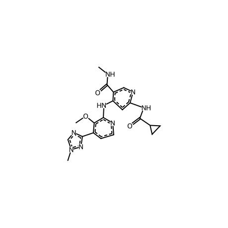 CNC(=O)c1cnc(NC(=O)C2CC2)cc1Nc1nccc(-c2ncn(C)n2)c1OC